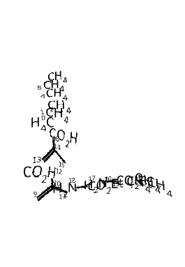 C.C.C.C.C.C.C.C.C.C=C(C)C(=O)O.C=C(C)C(=O)O.CCOC(N)=O.CCOC(N)=O